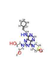 COCCN(CCO)c1nc(N2CC[S+]([O-])CC2)c2ncnc(NCCc3ccccc3)c2n1